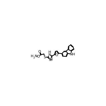 NOC(=O)CSc1nnc(-c2ccc(-c3ccc4[nH]c5ccccc5c4c3)o2)[nH]1